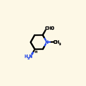 CN1C[C@@H](N)CCC1C=O